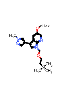 CCCCCCOc1cnc2c(c1)c(-c1cnn(C)c1)cn2COCC[Si](C)(C)C